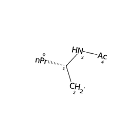 [CH2]CC[C@@H]([CH2])NC(C)=O